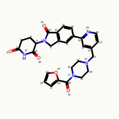 O=C1CCC(N2Cc3cc(-c4cc(CN5CCN(C(=O)c6ccco6)CC5)ccn4)ccc3C2=O)C(=O)N1